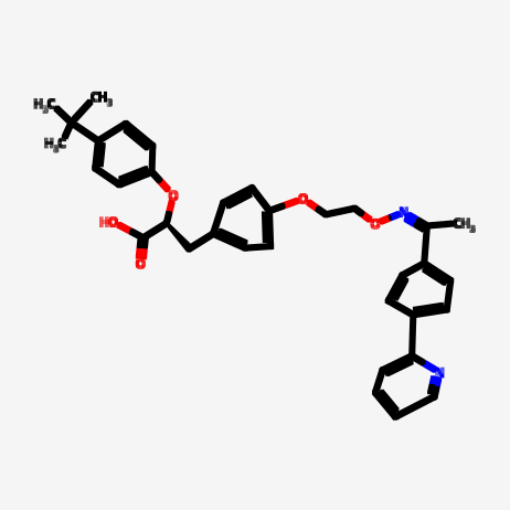 C/C(=N/OCCOc1ccc(C[C@H](Oc2ccc(C(C)(C)C)cc2)C(=O)O)cc1)c1ccc(-c2ccccn2)cc1